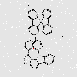 c1ccc(-n2ccc3ccc4c5ccccc5n(-c5ccc(-c6ccc7c(c6)C6(c8ccccc8-c8ccccc86)c6ccccc6-7)cc5)c4c32)cc1